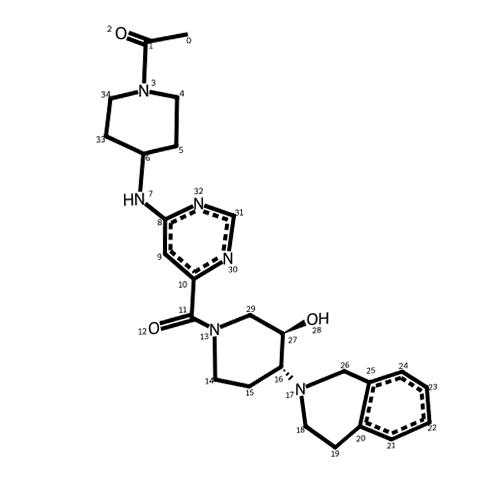 CC(=O)N1CCC(Nc2cc(C(=O)N3CC[C@@H](N4CCc5ccccc5C4)[C@H](O)C3)ncn2)CC1